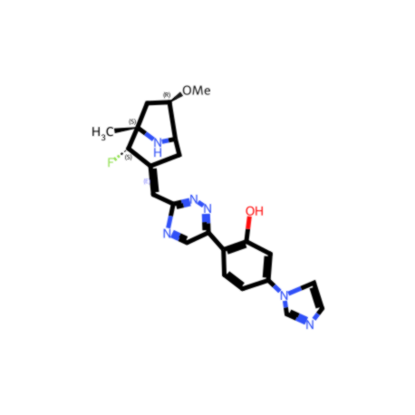 CO[C@@H]1C[C@]2(C)NC1C/C(=C\c1ncc(-c3ccc(-n4ccnc4)cc3O)nn1)[C@@H]2F